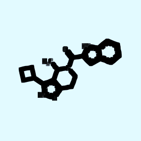 CC1c2c(n[nH]c2C2CCC2)CCN1C(=O)c1cc2ccccc2[nH]1